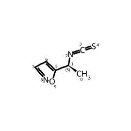 C[C@H](N=C=S)c1ccno1